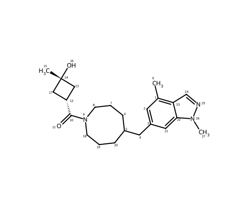 Cc1cc(CC2CCCN(C(=O)[C@H]3C[C@@](C)(O)C3)CCC2)cc2c1cnn2C